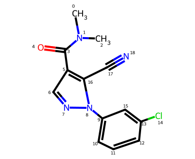 CN(C)C(=O)c1cnn(-c2cccc(Cl)c2)c1C#N